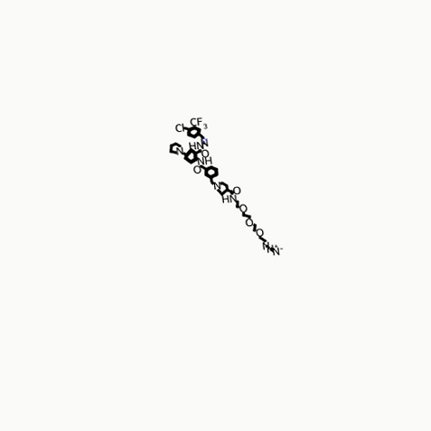 [N-]=[N+]=NCCOCCOCCOCCNC(=O)C1CCN(Cc2cccc(C(=O)Nc3ccc(N4CCCCC4)cc3C(=O)N/N=C\c3ccc(Cl)c(C(F)(F)F)c3)c2)CC1